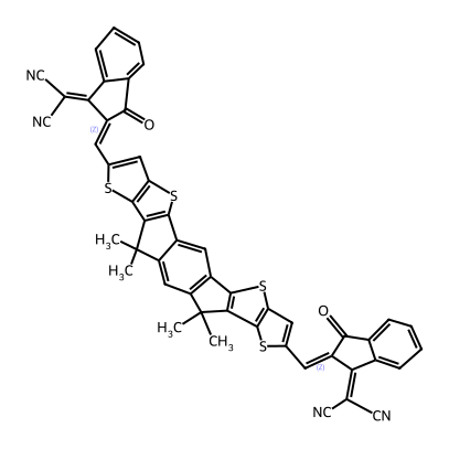 CC1(C)c2cc3c(cc2-c2sc4cc(/C=C5\C(=O)c6ccccc6C5=C(C#N)C#N)sc4c21)-c1sc2cc(/C=C4\C(=O)c5ccccc5C4=C(C#N)C#N)sc2c1C3(C)C